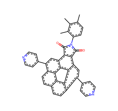 Cc1ccc(-n2c(=O)c3c4cc(-c5ccncc5)c5ccc6ccc7c(-c8ccncc8)cc(c3c2=O)c2c7c6c5c42)c(C)c1C